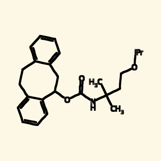 CC(C)OCCC(C)(C)NC(=O)OC1Cc2ccccc2CCc2ccccc21